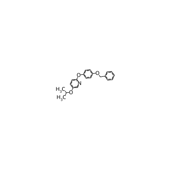 CC(C)Oc1ccc(Oc2ccc(OCc3ccccc3)cc2)nc1